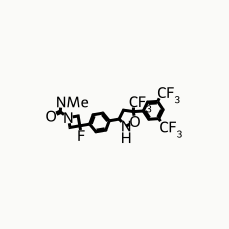 CNC(=O)N1CC(F)(c2ccc(C3CC(c4cc(C(F)(F)F)cc(C(F)(F)F)c4)(C(F)(F)F)ON3)cc2)C1